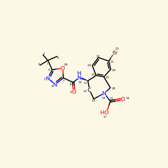 CC(C)(C)c1nnc(C(=O)N[C@@H]2CCN(C(=O)O)Cc3cc(Br)ccc32)o1